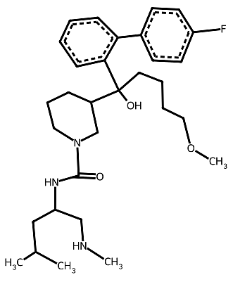 CNCC(CC(C)C)NC(=O)N1CCCC(C(O)(CCCCOC)c2ccccc2-c2ccc(F)cc2)C1